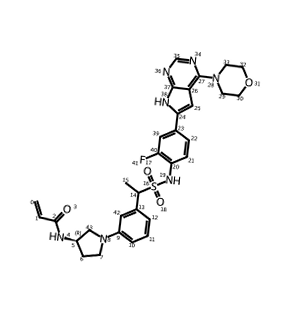 C=CC(=O)N[C@@H]1CCN(c2cccc(C(C)S(=O)(=O)Nc3ccc(-c4cc5c(N6CCOCC6)ncnc5[nH]4)cc3F)c2)C1